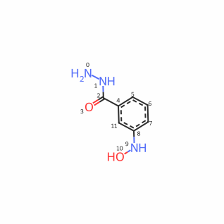 NNC(=O)c1cccc(NO)c1